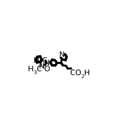 CN(C(=O)N(C)c1ccc(C(=CCCCC(=O)O)c2cccnc2)cc1)c1ccccc1